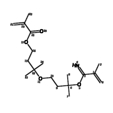 C=C(C)C(=N)OC(C)(C)CCOC(C)(C)CCOC(=O)C(=C)C